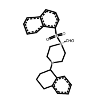 O=C[N+]1(S(=O)(=O)c2cccc3ccccc23)CCN(C2CCCc3ccccc32)CC1